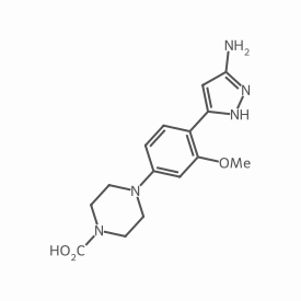 COc1cc(N2CCN(C(=O)O)CC2)ccc1-c1cc(N)n[nH]1